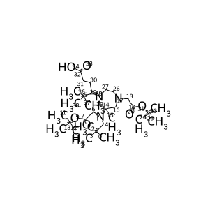 CC(C)(C)CN(CC(=O)OC(C)(C)C)C1(C)CN(CC(=O)OC(C)(C)C)CCN(C(CCC(=O)O)C(C)(C)C)C1